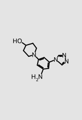 Nc1cc(N2CCC(O)CC2)cc(-n2cnnc2)c1